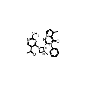 CC(=O)c1cnc(N)nc1N1C[C@H](C)[C@H]1c1nn2ccc(C)c2c(=O)n1-c1ccccc1